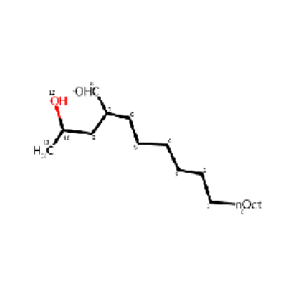 CCCCCCCCCCCCCCC([C]=O)CC(C)O